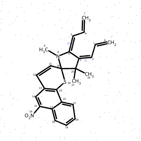 C=C/C=C1\C(=C/C=C)N(C)C2(C=Cc3cc([N+](=O)[O-])c4ccccc4c3S2)C1(C)C